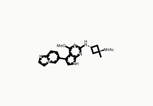 COc1nc(N[C@H]2C[C@](C)(NC(C)=O)C2)nc2[nH]cc(-c3ccc4nccn4c3)c12